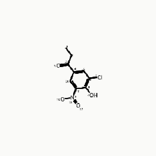 CCC(=O)c1cc(Cl)c(O)c([N+](=O)[O-])c1